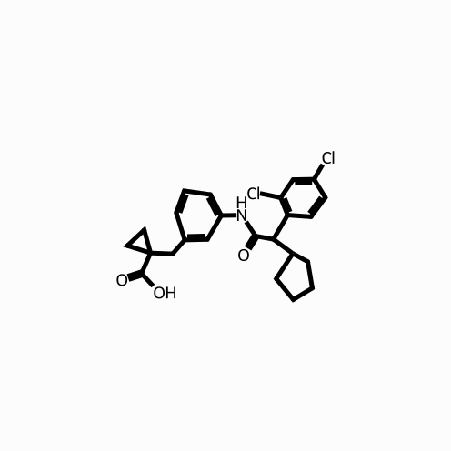 O=C(Nc1cccc(CC2(C(=O)O)CC2)c1)C(c1ccc(Cl)cc1Cl)C1CCCC1